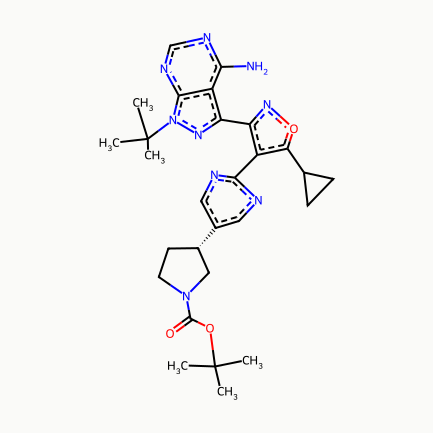 CC(C)(C)OC(=O)N1CC[C@H](c2cnc(-c3c(-c4nn(C(C)(C)C)c5ncnc(N)c45)noc3C3CC3)nc2)C1